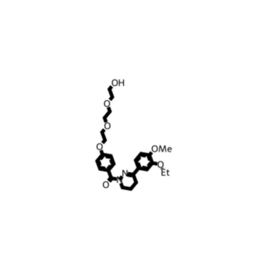 CCOc1cc(C2=NN(C(=O)c3ccc(OCCOCCOCCO)cc3)CCC2)ccc1OC